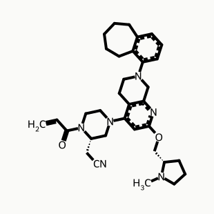 C=CC(=O)N1CCN(c2cc(OC[C@@H]3CCCN3C)nc3c2CCN(c2cccc4c2CCCCC4)C3)C[C@@H]1CC#N